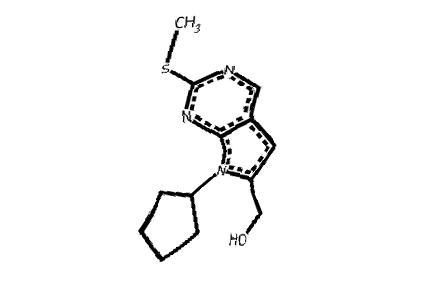 CSc1ncc2cc(CO)n(C3CCCC3)c2n1